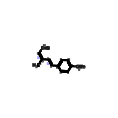 COc1ccc(/C=C/C(C)=C\C=O)cc1